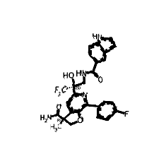 C[C@]1(C(N)=O)COc2c1cc([C@@](O)(CNC(=O)c1ccc3[nH]ccc3c1)C(F)(F)F)nc2-c1ccc(F)cc1